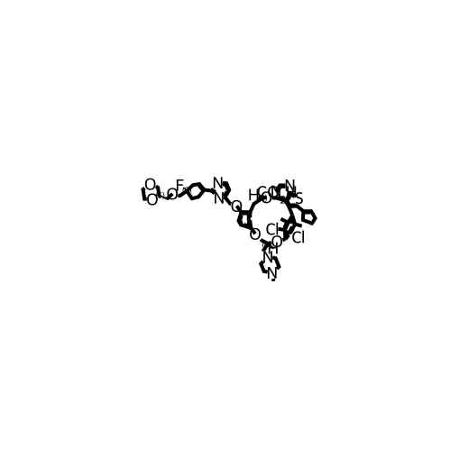 Cc1c(Cl)c2c(Cl)c(C)c1-c1c(C3=CCCC3)sc3ncnc(c13)O[C@@H](C(=O)O)Cc1cc(ccc1OCc1ccnc(C3=CC[C@](F)(COC[C@@H]4COCCO4)CC3)n1)OC[C@@H](CN1CCN(C)CC1)O2